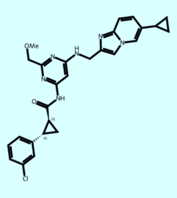 COCc1nc(NCc2cn3cc(C4CC4)ccc3n2)cc(NC(=O)[C@H]2C[C@@H]2c2cccc(Cl)c2)n1